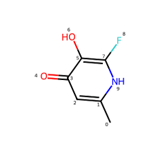 Cc1cc(=O)c(O)c(F)[nH]1